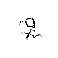 COP(=O)(O)O.Cc1ccccc1